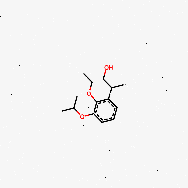 [CH2]C(CO)c1cccc(OC(C)C)c1OCC